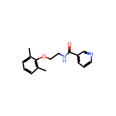 Cc1cccc(C)c1OCCNC(=O)c1cccnc1